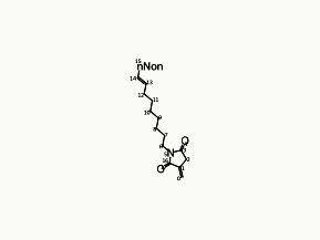 C=C1CC(=O)N(CCCCCCC/C=C/CCCCCCCCC)C1=O